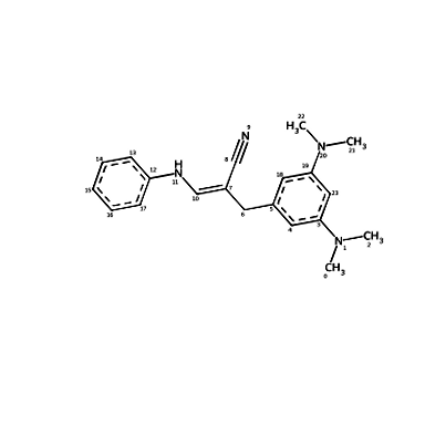 CN(C)c1cc(CC(C#N)=CNc2ccccc2)cc(N(C)C)c1